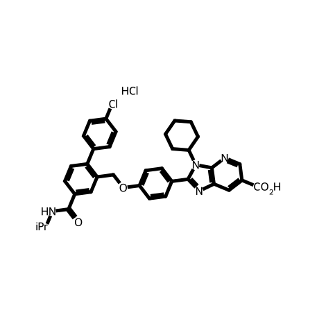 CC(C)NC(=O)c1ccc(-c2ccc(Cl)cc2)c(COc2ccc(-c3nc4cc(C(=O)O)cnc4n3C3CCCCC3)cc2)c1.Cl